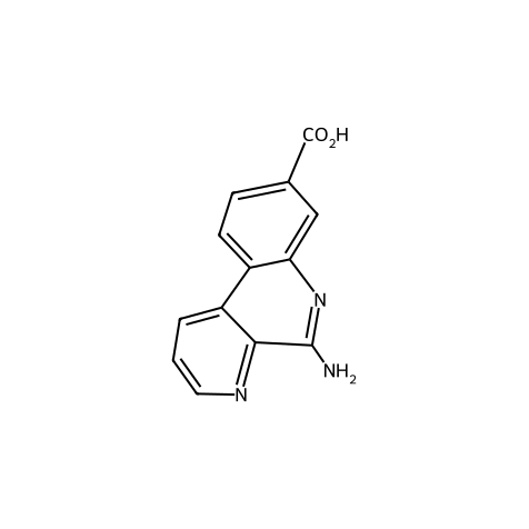 Nc1nc2cc(C(=O)O)ccc2c2cccnc12